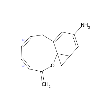 C=C1/C=C\C=C/CC2=CC(N)=CC3CC23O1